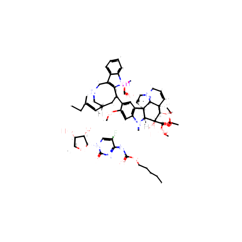 CCC1=C[C@@H]2C[N@](C1)Cc1c([nH]c3ccccc13)[C@@](C(=O)OC)(c1cc3c(cc1OC)N(C)[C@H]1[C@@](O)(C(=O)OC)[C@H](OC(C)=O)[C@]4(CC)C=CCN5CC[C@]31[C@@H]54)C2.CCCCCOC(=O)Nc1nc(=O)n([C@@H]2O[C@H](C)[C@@H](O)[C@H]2O)cc1F